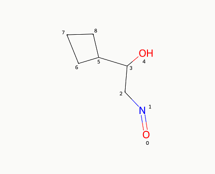 O=NCC(O)C1CCC1